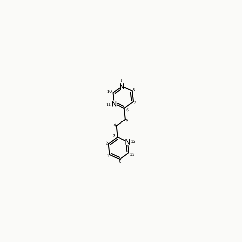 c1ccc(CCc2ccncn2)nc1